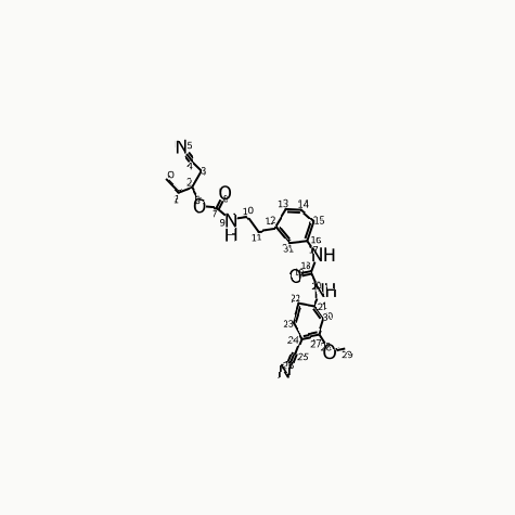 CCC(CC#N)OC(=O)NCCc1cccc(NC(=O)Nc2ccc(C#N)c(OC)c2)c1